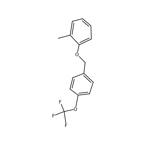 Cc1ccccc1OCc1ccc(OC(F)(F)F)cc1